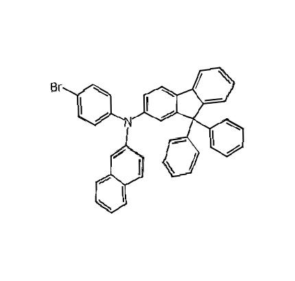 Brc1ccc(N(c2ccc3c(c2)C(c2ccccc2)(c2ccccc2)c2ccccc2-3)c2ccc3ccccc3c2)cc1